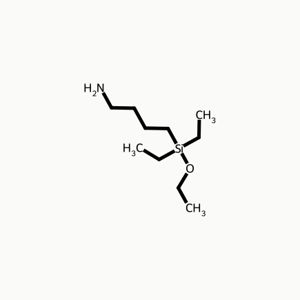 CCO[Si](CC)(CC)CCCCN